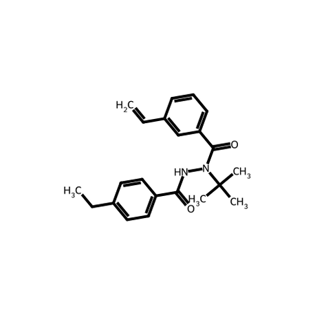 C=Cc1cccc(C(=O)N(NC(=O)c2ccc(CC)cc2)C(C)(C)C)c1